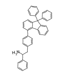 NC(Cc1ccc(-c2cccc3c2-c2ccccc2C3(c2ccccc2)c2ccccc2)cc1)c1ccccc1